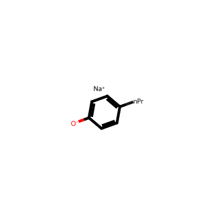 CCCc1ccc([O-])cc1.[Na+]